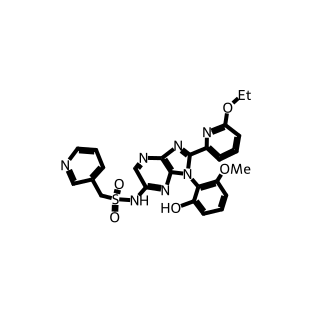 CCOC1=NC(c2nc3ncc(NS(=O)(=O)Cc4cccnc4)nc3n2-c2c(O)cccc2OC)=C=C=C1